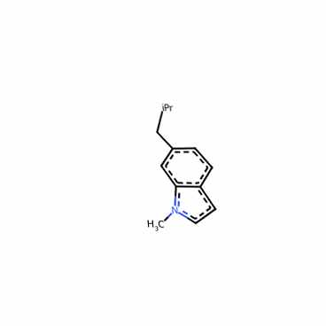 CC(C)Cc1ccc2ccn(C)c2c1